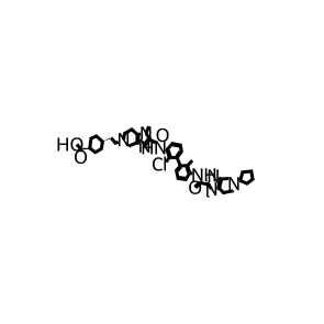 Cc1c(NC(=O)c2nc3c(n2C)CCN(C2CCCC2)C3)cccc1-c1cccc(NC(=O)c2nc3c(n2C)CCN(CC[C@H]2CC[C@H](C(=O)O)CC2)C3)c1Cl